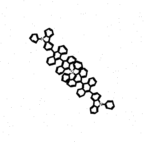 C1=CCc2c(c(-c3ccc4c(c3)c3ccccc3n4-c3ccccc3)c3ccccc3c2-c2c3ccccc3c([Si](c3ccccc3)(c3ccccc3)c3c4ccccc4c(-c4c5ccccc5c(-c5ccc6c(c5)c5ccccc5n6-c5ccccc5)c5ccccc45)c4ccccc34)c3ccccc23)C1